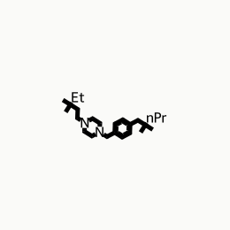 CCCC(C)(C)Cc1ccc(CN2CCN(CCC(C)(C)CC)CC2)cc1